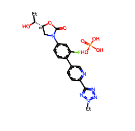 CCC(O)[C@H]1CN(c2ccc(-c3ccc(-c4nnn(CC)n4)nc3)c(F)c2)C(=O)O1.O=P(O)(O)O